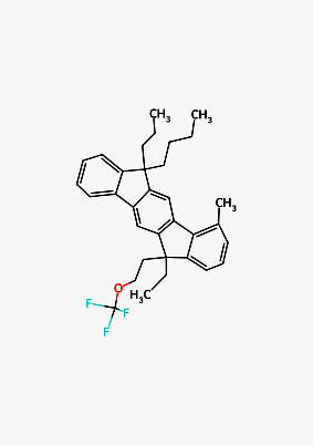 CCCCC1(CCC)c2ccccc2-c2cc3c(cc21)-c1c(C)cccc1C3(CC)CCOC(F)(F)F